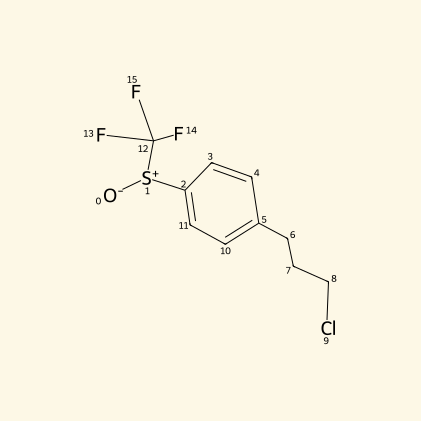 [O-][S+](c1ccc(CCCCl)cc1)C(F)(F)F